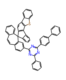 C1=Cc2ccc(-c3nc(-c4ccccc4)nc(-c4ccc(-c5ccccc5)cc4)n3)cc2C2(c3ccccc31)c1ccccc1-c1c2ccc2c1sc1ccccc12